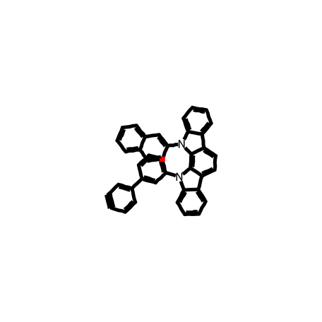 c1ccc(-c2cccc(-n3c4ccccc4c4ccc5c6ccccc6n(-c6ccc7ccccc7c6)c5c43)c2)cc#1